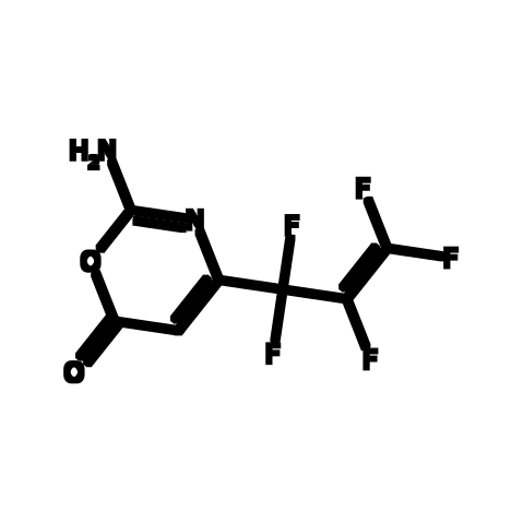 Nc1nc(C(F)(F)C(F)=C(F)F)cc(=O)o1